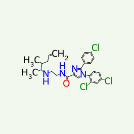 C=CCC(C)C(C)NCCNC(=O)c1cn(-c2ccc(Cl)cc2Cl)c(-c2ccc(Cl)cc2)n1